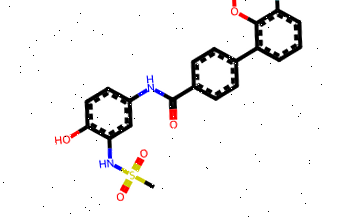 COc1c(F)cccc1-c1ccc(C(=O)Nc2ccc(O)c(NS(C)(=O)=O)c2)cc1